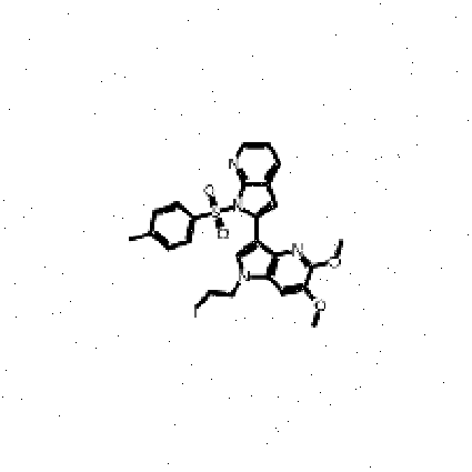 COc1cc2c(nc1OC)c(-c1cc3cccnc3n1S(=O)(=O)c1ccc(C)cc1)cn2CCI